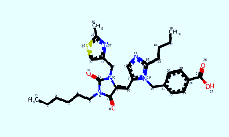 CCCCCCN1C(=O)/C(=C/c2cnc(CCCC)n2Cc2ccc(C(=O)O)cc2)N(Cc2csc(C)n2)C1=O